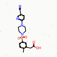 Cc1ccc(S(=O)(=O)N2CCN(c3ccc(C#N)cn3)CC2)cc1CC(=O)O